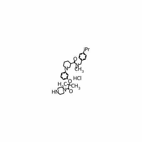 CC(C)c1ccc(CN(C)C(=O)C2CCCN(c3cccc(OC(C)(C)C(=O)N4CCNCC4)c3)C2)cc1.Cl